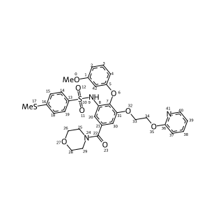 COc1cccc(Oc2c(NS(=O)(=O)c3ccc(SC)cc3)cc(C(=O)N3CCOCC3)cc2OCCOc2ccccn2)c1